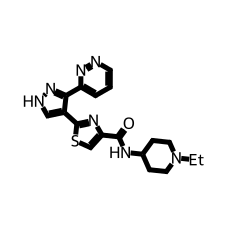 CCN1CCC(NC(=O)c2csc(-c3c[nH]nc3-c3cccnn3)n2)CC1